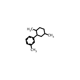 Cc1cccc(C2CC(C)CCC2C)c1